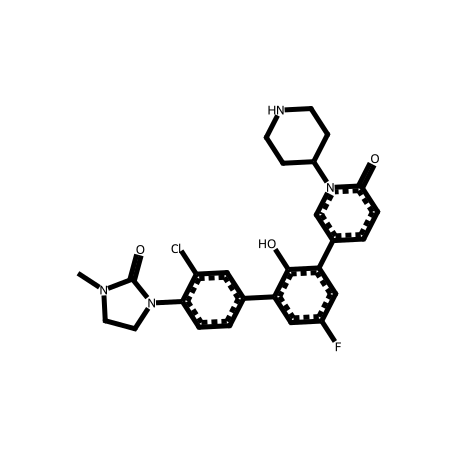 CN1CCN(c2ccc(-c3cc(F)cc(-c4ccc(=O)n(C5CCNCC5)c4)c3O)cc2Cl)C1=O